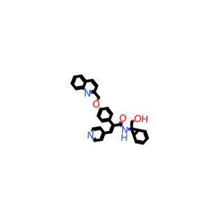 O=C(NC1(CO)C2C=CC=CC21)/C(=C/c1ccncc1)c1ccc(OCc2ccc3ccccc3n2)cc1